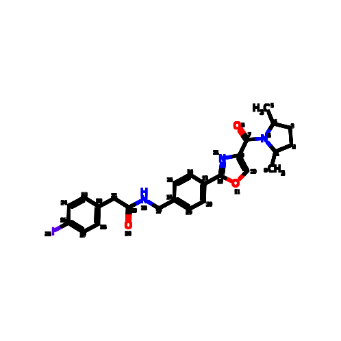 CC1CCC(C)N1C(=O)c1coc(-c2ccc(CNC(=O)Cc3ccc(I)cc3)cc2)n1